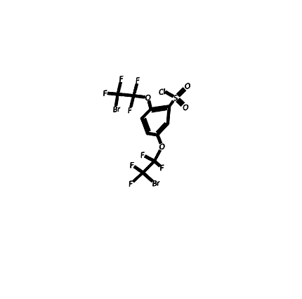 O=S(=O)(Cl)c1cc(OC(F)(F)C(F)(F)Br)ccc1OC(F)(F)C(F)(F)Br